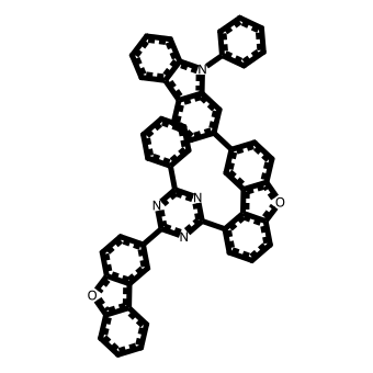 c1ccc(-c2nc(-c3ccc4oc5ccccc5c4c3)nc(-c3cccc4oc5ccc(-c6ccc7c8ccccc8n(-c8ccccc8)c7c6)cc5c34)n2)cc1